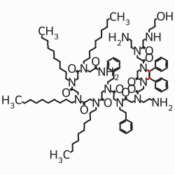 CCCCCCCCCCN(CC(N)=O)C(=O)CN(CCCCCCCCCC)C(=O)CN(CCCCCCCCCC)C(=O)CN(CCCCCCCCCC)C(=O)CN(CCc1ccccc1)C(=O)CN(CCc1ccccc1)C(=O)CN(CCN)C(=O)CN(CCc1ccccc1)C(=O)CN(CCc1ccccc1)C(=O)CN(CCN)C(=O)CNCCCO